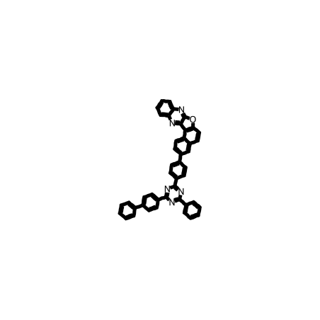 c1ccc(-c2ccc(-c3nc(-c4ccccc4)nc(-c4ccc(-c5ccc6c(ccc7oc8nc9ccccc9nc8c76)c5)cc4)n3)cc2)cc1